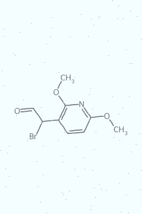 COc1ccc(C(Br)C=O)c(OC)n1